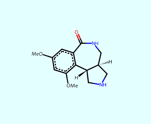 COc1cc(OC)c2c(c1)C(=O)NC[C@H]1CNC[C@H]21